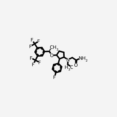 CCN(CC(N)=O)C1CCC(O[C@H](C)c2cc(C(F)(F)F)cc(C(F)(F)F)c2)C1c1ccc(F)cc1